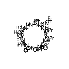 CCCCN1CC(=O)N(C)[C@@H](CC(C)C)C(=O)N[C@@H](COC[C@@H]2CC(F)(F)CN2)C(=O)N(C)[C@@H](CC(C)C)C(=O)N(C)[C@@H](CC(C)C)C(=O)N[C@H](C(=O)N2CCCCC2)CC(=O)N[C@H](C(C)C)C(=O)N(C)[C@@H](Cc2ccccc2)C(=O)NC(CC(C)C)C(=O)N(C)[C@@H](CC)C(=O)N[C@@H]([C@@H](C)O)C1=O